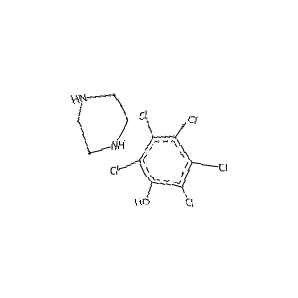 C1CNCCN1.Oc1c(Cl)c(Cl)c(Cl)c(Cl)c1Cl